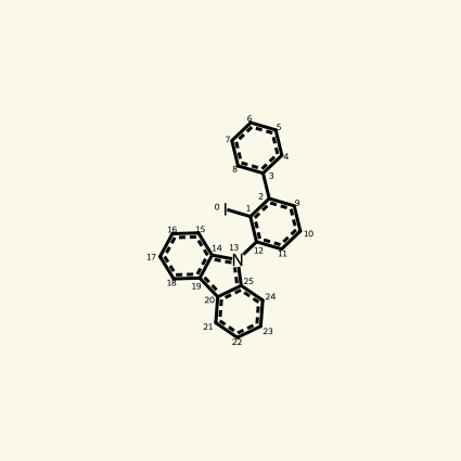 Ic1c(-c2ccccc2)cccc1-n1c2ccccc2c2ccccc21